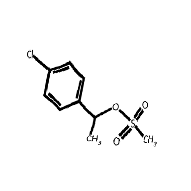 CC(OS(C)(=O)=O)c1ccc(Cl)cc1